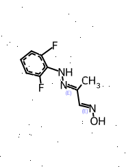 CC(/C=N/O)=N\Nc1c(F)cccc1F